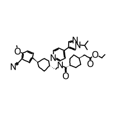 CCOC(=O)C[C@H]1CC[C@H](C(=O)N(C[C@H]2CC[C@H](c3ccc(OC)c(C#N)c3)CC2)c2cc(-c3cnn(C(C)C)c3)ccn2)CC1